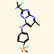 Cc1cc(Nc2ccc(P(C)(C)(F)F)cc2)n2nc(C(C)(F)F)nc2n1